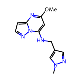 COc1cc(NCc2cnn(C)c2)n2nccc2n1